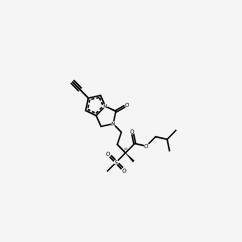 C#Cc1cc2n(c1)C(=O)N(CC[C@](C)(C(=O)OCC(C)C)S(C)(=O)=O)C2